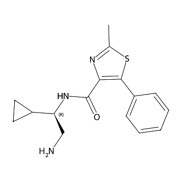 Cc1nc(C(=O)N[C@@H](CN)C2CC2)c(-c2ccccc2)s1